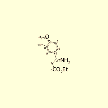 CCOC(=O)CC(N)c1ccc2c(c1)CCO2